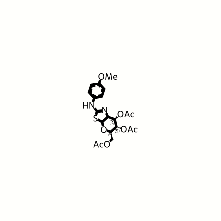 COc1ccc(NC2=NC3C(O[C@H](COC(C)=O)[C@@H](OC(C)=O)[C@@H]3OC(C)=O)S2)cc1